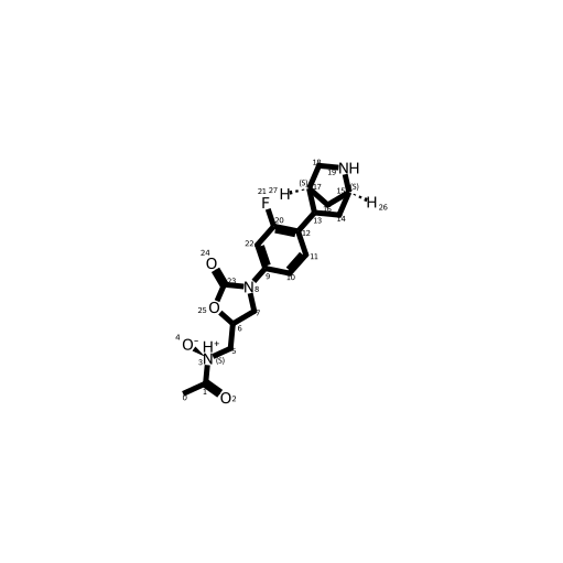 CC(=O)[N@@H+]([O-])CC1CN(c2ccc(C3C[C@H]4C[C@@H]3CN4)c(F)c2)C(=O)O1